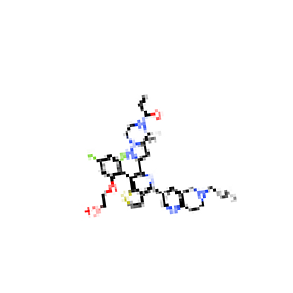 C=CC(=O)N1CCn2nc(-c3nc(-c4cnc5c(c4)CN(CC(F)(F)F)CC5)c4ccsc4c3-c3c(F)cc(F)cc3OCCO)cc2[C@H]1C